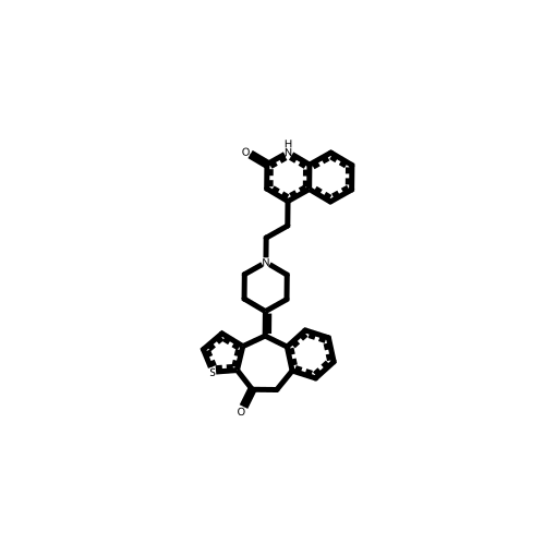 O=C1Cc2ccccc2C(=C2CCN(CCc3cc(=O)[nH]c4ccccc34)CC2)c2ccsc21